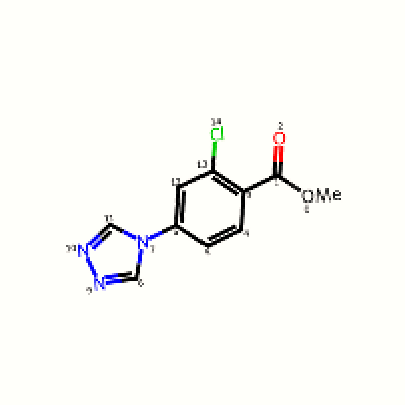 COC(=O)c1ccc(-n2cnnc2)cc1Cl